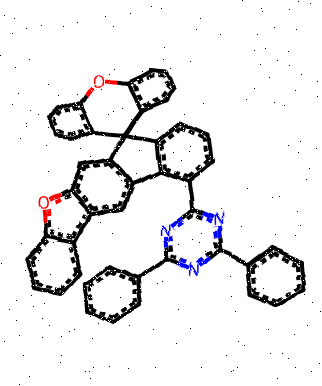 c1ccc(-c2nc(-c3ccccc3)nc(-c3cccc4c3-c3cc5c(cc3C43c4ccccc4Oc4ccccc43)oc3ccccc35)n2)cc1